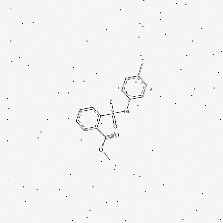 [CH2]c1ccc(NS(=O)(=O)c2ccccc2C(=O)OC)cc1